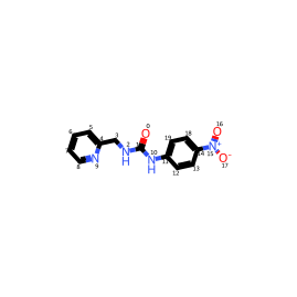 O=C(NCc1ccccn1)Nc1ccc([N+](=O)[O-])cc1